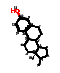 CC1CCC2C3CCc4cc(O)ccc4C3CC[C@]12C